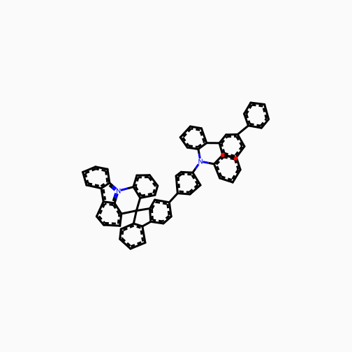 c1ccc(-c2cccc(-c3ccccc3N(c3ccccc3)c3ccc(-c4ccc5c(c4)C4(c6ccccc6-5)c5ccccc5-n5c6ccccc6c6cccc4c65)cc3)c2)cc1